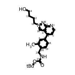 Cc1cc(-c2ccnc3nn(CCCCO)cc23)ccc1CNC(=O)OC(C)(C)C